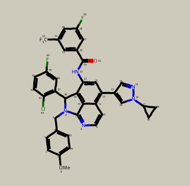 COc1ccc(CN2c3nccc4c(-c5cnn(C6CC6)c5)cc(NC(=O)c5cc(F)cc(C(F)(F)F)c5)c(c34)C2c2cc(F)ccc2Cl)cc1